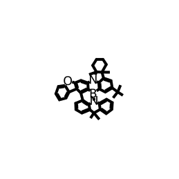 CC(C)(C)c1cc2c3c(c1)C1(C)CCCCC1(C)N3c1cc3oc4ccccc4c3c3c1B2N1c2ccccc2C(C)(C)c2cccc-3c21